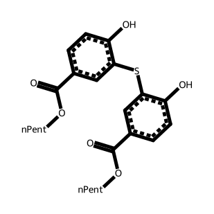 CCCCCOC(=O)c1ccc(O)c(Sc2cc(C(=O)OCCCCC)ccc2O)c1